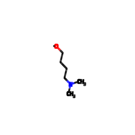 CN(C)CCCC[O]